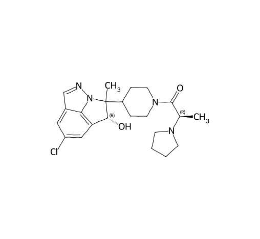 C[C@H](C(=O)N1CCC(C2(C)[C@H](O)c3cc(Cl)cc4cnn2c34)CC1)N1CCCC1